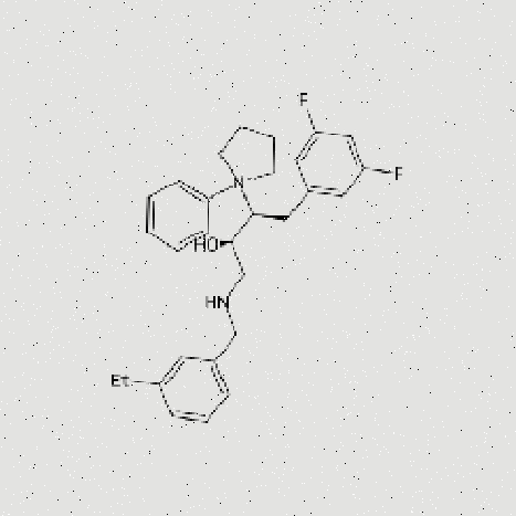 CCc1cccc(CNC[C@@H](O)[C@H](Cc2cc(F)cc(F)c2)[N+]2(c3ccccc3)CCCC2)c1